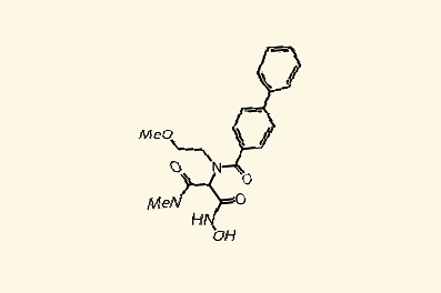 CNC(=O)C(C(=O)NO)N(CCOC)C(=O)c1ccc(-c2ccccc2)cc1